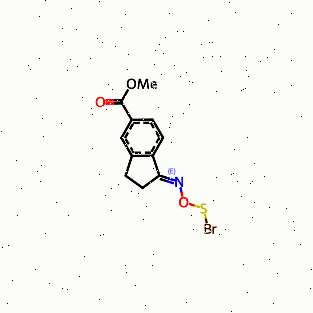 COC(=O)c1ccc2c(c1)CC/C2=N\OSBr